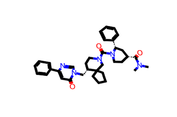 CN(C)C(=O)[C@@H]1CCN(C(=O)N2CC[C@@H](Cn3cnc(-c4ccccc4)cc3=O)C3(CCCC3)C2)[C@H](c2ccccc2)C1